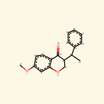 COc1ccc2c(c1)OCC(C(C)c1ccccc1)C2=O